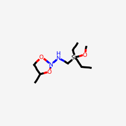 CC[Si](CC)(CNN1OCC(C)O1)OC